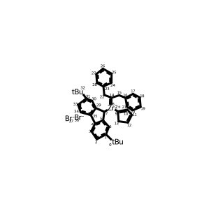 CC(C)(C)c1ccc2c(c1)[CH]([Zr+2]([C]1=CC=CC1)=[C](Cc1ccccc1)Cc1ccccc1)c1cc(C(C)(C)C)ccc1-2.[Br-].[Br-]